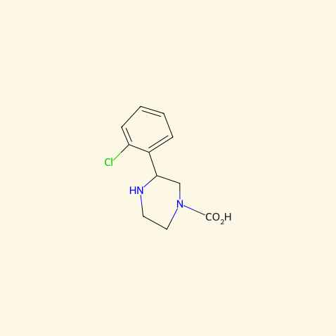 O=C(O)N1CCNC(c2ccccc2Cl)C1